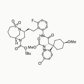 COC(=O)N[C@H](C(=O)Nc1cccc(F)c1CC[C@H]1CN(C(=O)OC(C)(C)C)[C@@H]2CCCS(=O)(=O)N1C2)[C@]1(c2ccc(Cl)cc2)CC[C@@H](OC)CC1